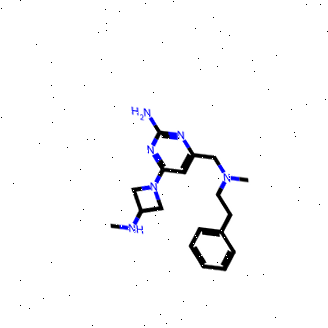 CNC1CN(c2cc(CN(C)CCc3ccccc3)nc(N)n2)C1